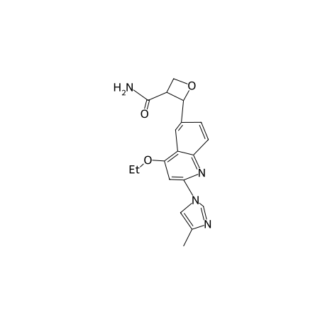 CCOc1cc(-n2cnc(C)c2)nc2ccc(C3OCC3C(N)=O)cc12